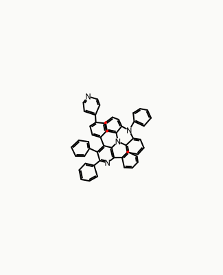 c1ccc(-c2nc(-c3ccccc3)c(N3c4ccccc4N(c4ccccc4)c4ccccc43)c(-c3ccc(-c4ccncc4)cc3)c2-c2ccccc2)cc1